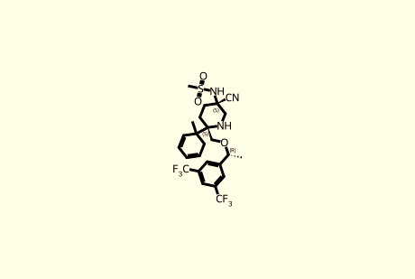 C[C@@H](OC[C@@]1(C2(C)C=CC=CC2)CC[C@](C#N)(NS(C)(=O)=O)CN1)c1cc(C(F)(F)F)cc(C(F)(F)F)c1